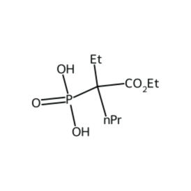 CCCC(CC)(C(=O)OCC)P(=O)(O)O